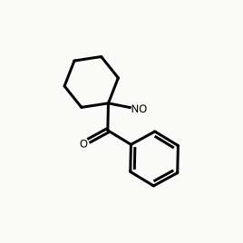 O=NC1(C(=O)c2ccccc2)CCCCC1